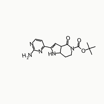 CC(C)(C)OC(=O)N1CCC2NC(c3ccnc(N)n3)=CC2C1=O